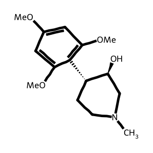 COc1cc(OC)c([C@H]2CCN(C)C[C@@H]2O)c(OC)c1